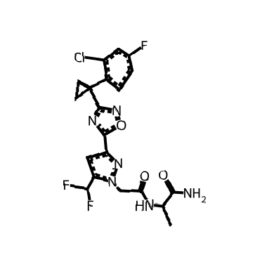 CC(NC(=O)Cn1nc(-c2nc(C3(c4ccc(F)cc4Cl)CC3)no2)cc1C(F)F)C(N)=O